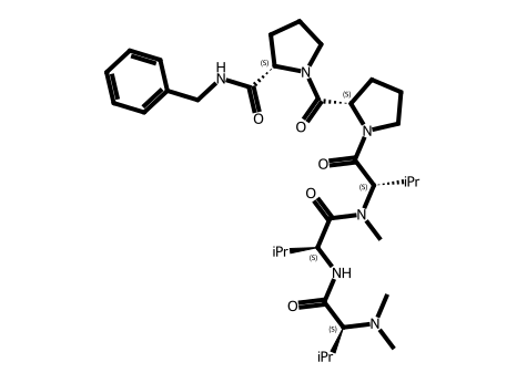 CC(C)[C@H](NC(=O)[C@H](C(C)C)N(C)C)C(=O)N(C)[C@H](C(=O)N1CCC[C@H]1C(=O)N1CCC[C@H]1C(=O)NCc1ccccc1)C(C)C